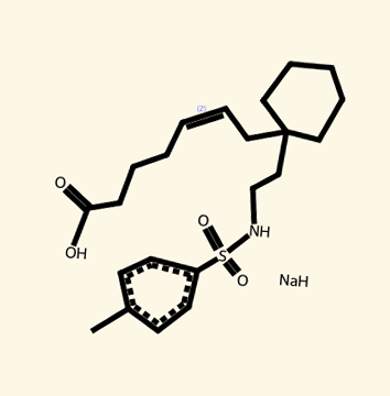 Cc1ccc(S(=O)(=O)NCCC2(C/C=C\CCCC(=O)O)CCCCC2)cc1.[NaH]